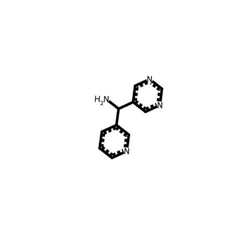 NC(c1cccnc1)c1cncnc1